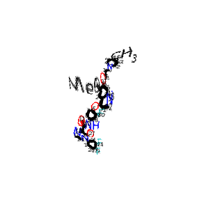 COc1cc2c(Oc3ccc(NC(=O)c4nccn(-c5ccc(F)c(F)c5)c4=O)cc3F)ccnc2cc1OCCCN1CCC(C)CC1